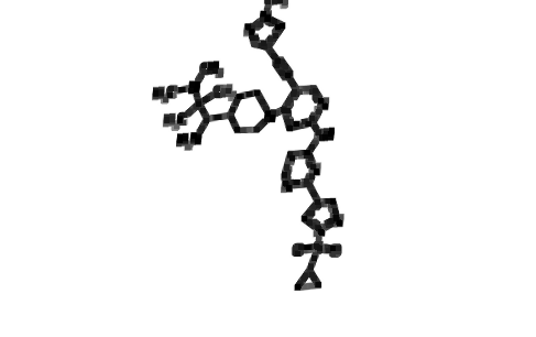 CN(C)C(C)(C)C(N)C1CCN(c2cc(Nc3ccnc(-c4cnn(S(=O)(=O)C5CC5)c4)n3)ncc2C#Cc2cnn(C)c2)CC1